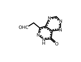 O=CCc1n[nH]c(=O)c2nncnc12